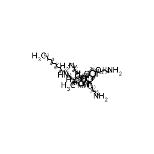 CCCCCCCCCCNCCC[C@@H](C)C1CC[C@H]2C3[C@H](OCCCN)CC4C[C@H](OCCCN)CCC4(C)[C@H]3C[C@H](OCCCN)C12C